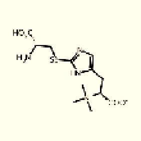 C[N+](C)(C)[C@@H](Cc1cnc([Se]C[C@H](N)C(=O)O)[nH]1)C(=O)[O-]